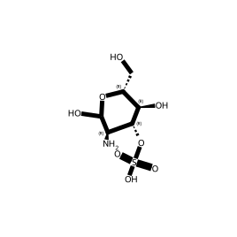 N[C@H]1C(O)O[C@H](CO)[C@@H](O)[C@@H]1OS(=O)(=O)O